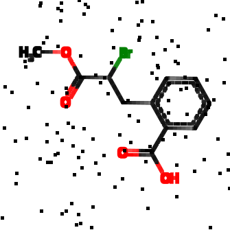 COC(=O)C(Br)Cc1ccccc1C(=O)O